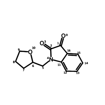 O=C1C(=O)N(CC2CCCO2)c2ccccc21